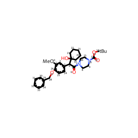 COc1cc(C(C(=O)N2CCN(C(=O)OC(C)(C)C)CC2)C2(O)CCCCC2)ccc1OCc1ccccc1